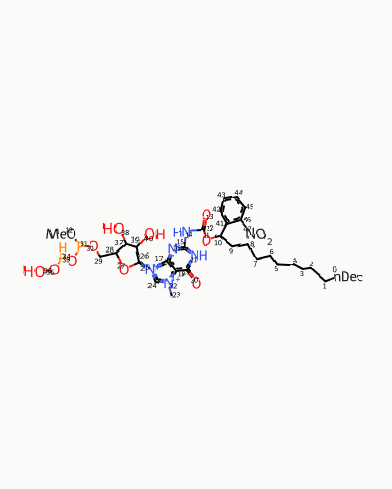 CCCCCCCCCCCCCCCCCCCC(OC(=O)Nc1nc2c(c(=O)[nH]1)[n+](C)cn2C1OC(COP(OC)OPOO)C(O)C1O)c1ccccc1[N+](=O)[O-]